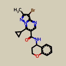 Cc1nn2c(C3CC3)c(C(=O)NC3CCOc4ccccc43)cnc2c1Br